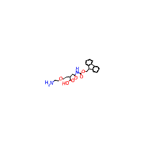 NCCOCCC(CC(=O)NC(=O)OCC1c2ccccc2-c2ccccc21)C(=O)O